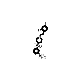 O=CNc1cccc(S(=O)(=O)C2CCN(CCc3ccc(F)cc3F)CC2)c1